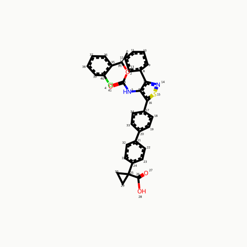 C[C@@H](OC(=O)Nc1c(-c2ccccc2)nsc1-c1ccc(-c2ccc(C3(C(=O)O)CC3)cc2)cc1)c1ccccc1Cl